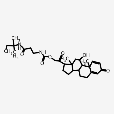 CCC(C)(C)NC(=O)CCNC(=O)OCC(=O)C1CCC2C3CCC4=CC(=O)C=CC4(C)C3C(O)CC12C